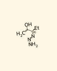 C=C(O)[C@@H](CC)N=NN